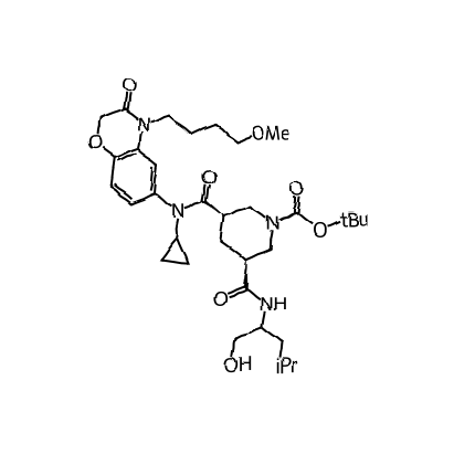 COCCCCN1C(=O)COc2ccc(N(C(=O)[C@@H]3C[C@H](C(=O)NC(CO)CC(C)C)CN(C(=O)OC(C)(C)C)C3)C3CC3)cc21